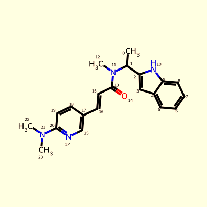 CC(c1cc2ccccc2[nH]1)N(C)C(=O)C=Cc1ccc(N(C)C)nc1